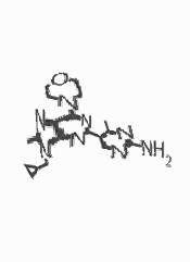 Cc1nc(N)ncc1-c1nc(N2CCOCC2)c2nc(C)n(CC3CC3)c2n1